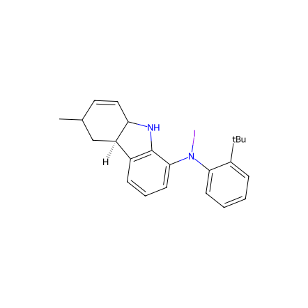 CC1C=CC2Nc3c(cccc3N(I)c3ccccc3C(C)(C)C)[C@H]2C1